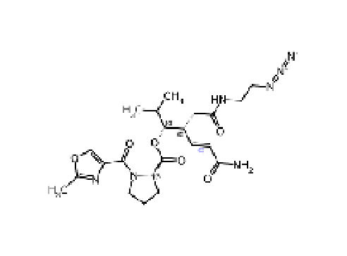 Cc1nc(C(=O)N2CCC[C@@H]2C(=O)O[C@H](C(C)C)[C@@H](/C=C/C(N)=O)CC(=O)NCCN=[N+]=[N-])co1